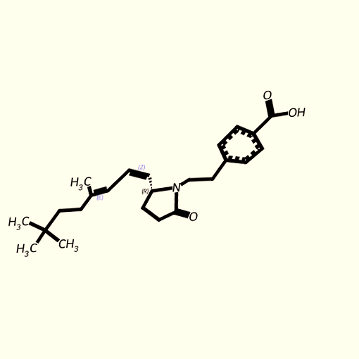 C/C(=C\C=C/[C@H]1CCC(=O)N1CCc1ccc(C(=O)O)cc1)CCC(C)(C)C